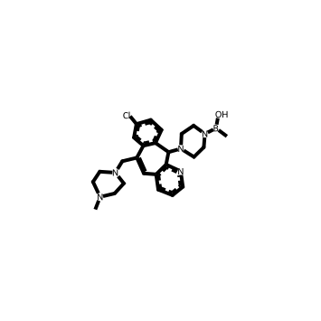 CB(O)N1CCN(C2c3ccc(Cl)cc3C(CN3CCN(C)CC3)=Cc3cccnc32)CC1